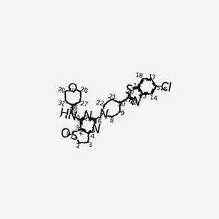 [O-][S@@+]1CCc2nc(N3CCC(c4nc5cc(Cl)ccc5s4)CC3)nc(NC3CCOCC3)c21